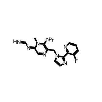 CCCc1c(Cn2ccnc2-c2ncccc2F)nc/c(=N/C=N)n1C